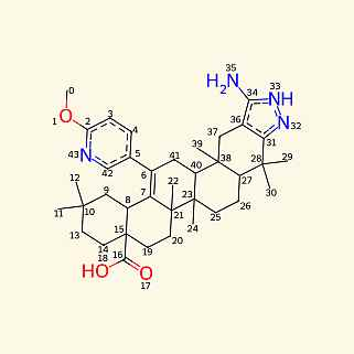 COc1ccc(C2=C3C4CC(C)(C)CCC4(C(=O)O)CCC3(C)C3(C)CCC4C(C)(C)c5n[nH]c(N)c5CC4(C)C3C2)cn1